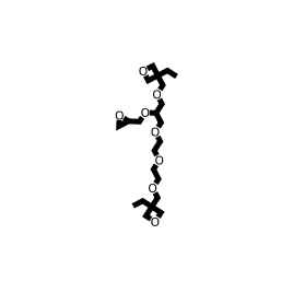 CCC1(COCCOCCOCC(COCC2(CC)COC2)OCC2CO2)COC1